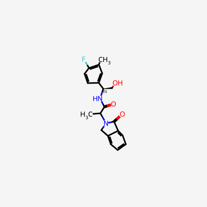 Cc1cc([C@@H](CO)NC(=O)C(C)N2Cc3ccccc3C2=O)ccc1F